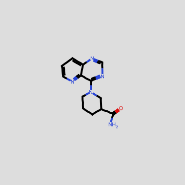 NC(=O)C1CCCN(c2ncnc3cccnc23)C1